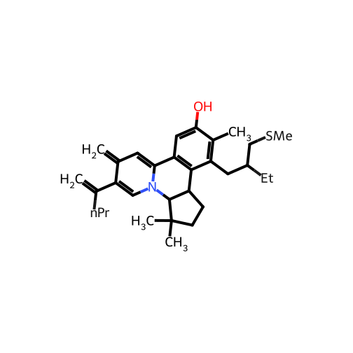 C=C1C=C2c3cc(O)c(C)c(CC(CC)CSC)c3C3CCC(C)(C)C3N2C=C1C(=C)CCC